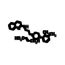 Cc1cccc(N2CCN(CCCNc3ccc4ccccc4n3)CC2)c1C.O=C(O)C=CC(=O)O